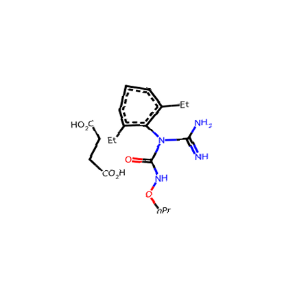 CCCONC(=O)N(C(=N)N)c1c(CC)cccc1CC.O=C(O)CCC(=O)O